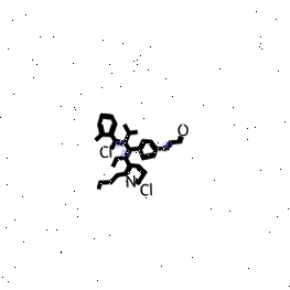 CCCCc1nc(Cl)ccc1/C(CC)=C(/C(=C(\Cl)c1ccccc1C)C(C)C)c1ccc(/C=C/C=O)cc1